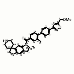 COCc1nc(-c2ccc(-c3ccc(C(=O)N4c5cc6c(cc5C[C@H]4C)OCC64CCNCC4)cc3C)cc2)no1